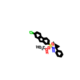 C[C@@H]1C[C@@]1(NS(=O)(=O)c1ccc2c(c1)Cc1cc(Cl)ccc1-2)c1ccccc1.O=C(O)O